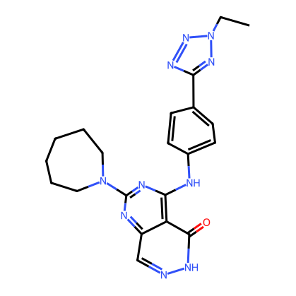 CCn1nnc(-c2ccc(Nc3nc(N4CCCCCC4)nc4cn[nH]c(=O)c34)cc2)n1